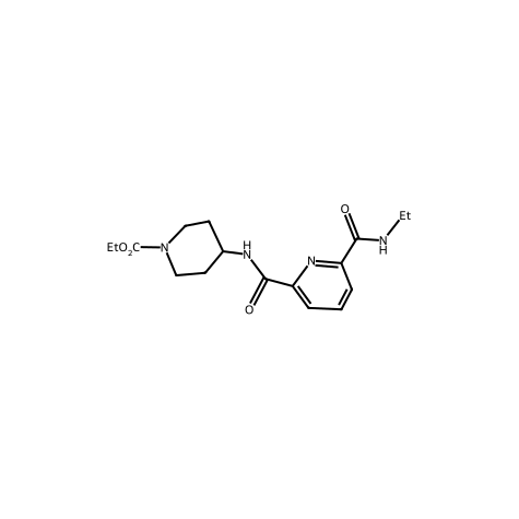 CCNC(=O)c1cccc(C(=O)NC2CCN(C(=O)OCC)CC2)n1